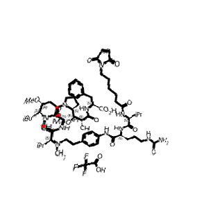 CC[C@H](C)[C@@H]([C@@H](CC(=O)N1CCC[C@H]1[C@H](OC)[C@@H](C)C(=O)N[C@@H](Cc1ccccc1)C(=O)O)OC)N(C)C(=O)[C@@H](NC(=O)[C@H](C(C)C)N(C)CCc1ccc(NC(=O)[C@H](CCCNC(N)=O)NC(=O)[C@@H](NC(=O)CCCCCN2C(=O)C=CC2=O)C(C)C)cc1)C(C)C.O=C(O)C(F)(F)F